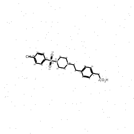 O=C(O)Cc1ccc(CCN2CCN(S(=O)(=O)c3ccc(Cl)cc3)CC2)cc1